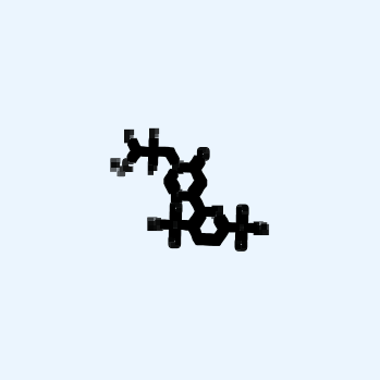 CCS(=O)(=O)c1ccc(S(=O)(=O)CC)c(-c2cc(=O)n(CC(F)(F)C(F)C(F)(F)F)cn2)n1